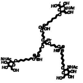 CC(=O)NC1C(OCCCCCCOP(=O)(O)OCCCOCC(COCCCOP(=O)(O)OCCCCCCOC2OC(CO)C(O)C(O)C2NC(C)=O)(OCCCOP(=O)(O)OCCCCCCOC(OC(CO)[C@@H](C)O)[C@H](CO)NC(C)=O)C(C)C)OC(CO)C(O)C1O